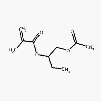 C=C(C)C(=O)OC(CC)COC(C)=O